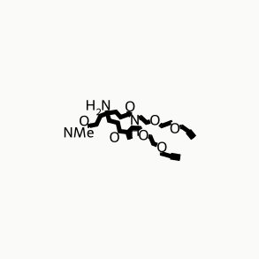 C#CCOCCOCCNC(=O)CCC(N)(CCC(=O)NC)CCC(=O)C(=C)CCOCCOCC#C